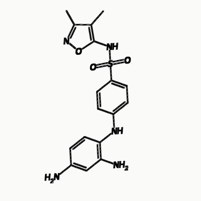 Cc1noc(NS(=O)(=O)c2ccc(Nc3ccc(N)cc3N)cc2)c1C